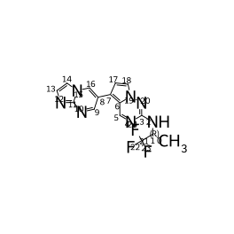 C[C@@H](Nc1ncc2c(-c3cnc4nccn4c3)ccn2n1)C(F)(F)F